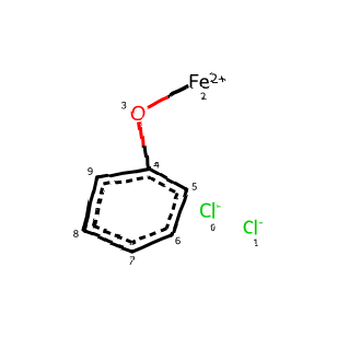 [Cl-].[Cl-].[Fe+2][O]c1ccccc1